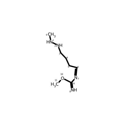 CNNCCC/C=N\C(=N)OC